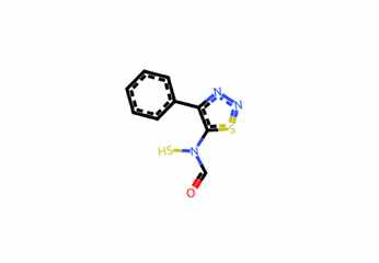 O=CN(S)c1snnc1-c1ccccc1